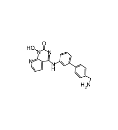 NCc1ccc(-c2cccc(Nc3nc(=O)n(O)c4ncccc34)c2)cc1